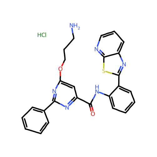 Cl.NCCCOc1cc(C(=O)Nc2ccccc2-c2nc3cccnc3s2)nc(-c2ccccc2)n1